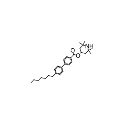 CCCCCCCc1ccc(-c2ccc(C(=O)OC3CC(C)(C)NC(C)(C)C3)cc2)cc1